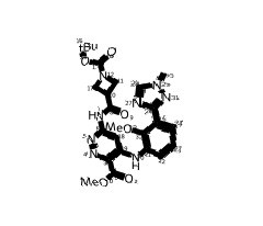 COC(=O)c1nnc(NC(=O)C2CN(C(=O)OC(C)(C)C)C2)cc1Nc1cccc(-c2ncn(C)n2)c1OC